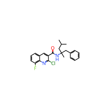 CC(C)CC(C)(Cc1ccccc1)NC(=O)c1cc2cccc(F)c2nc1Cl